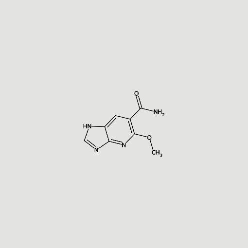 COc1nc2nc[nH]c2cc1C(N)=O